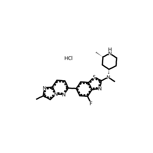 Cc1cn2nc(-c3cc(F)c4nc(N(C)[C@H]5CCN[C@@H](C)C5)sc4c3)ccc2n1.Cl